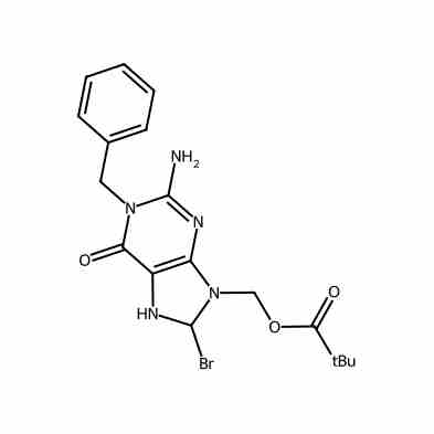 CC(C)(C)C(=O)OCN1c2nc(N)n(Cc3ccccc3)c(=O)c2NC1Br